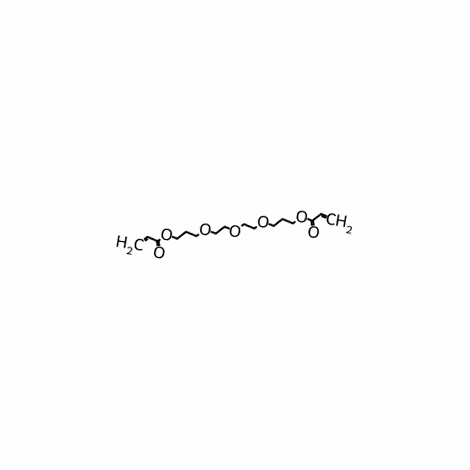 C=CC(=O)OCCCOCCOCCOCCCOC(=O)C=C